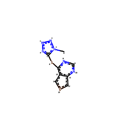 Cn1nnnc1Sc1ncnc2cscc12